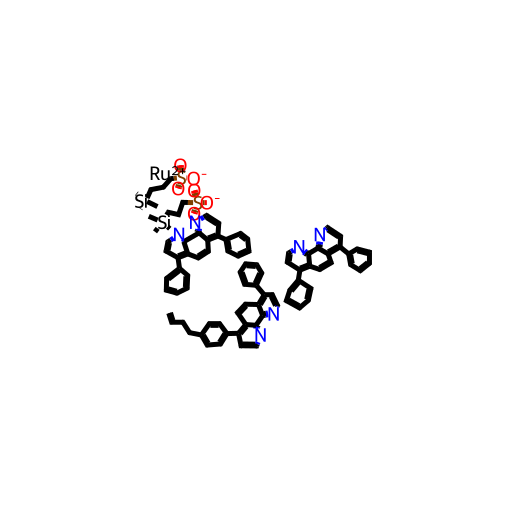 C=CCCc1ccc(-c2ccnc3c2ccc2c(-c4ccccc4)ccnc23)cc1.C[Si](C)(C)CCCS(=O)(=O)[O-].C[Si](C)(C)CCCS(=O)(=O)[O-].[Ru+2].c1ccc(-c2ccnc3c2ccc2c(-c4ccccc4)ccnc23)cc1.c1ccc(-c2ccnc3c2ccc2c(-c4ccccc4)ccnc23)cc1